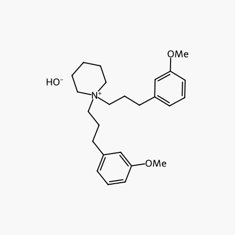 COc1cccc(CCC[N+]2(CCCc3cccc(OC)c3)CCCCC2)c1.[OH-]